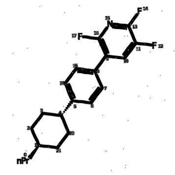 CCC[C@H]1CC[C@H](c2ccc(-c3cc(F)c(F)nc3F)cc2)CC1